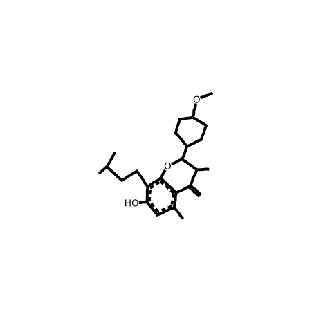 C=C1c2c(C)cc(O)c(CCC(C)C)c2OC(C2CCC(OC)CC2)C1C